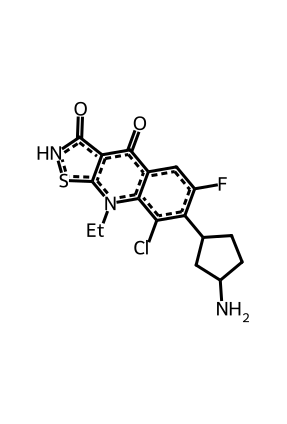 CCn1c2s[nH]c(=O)c2c(=O)c2cc(F)c(C3CCC(N)C3)c(Cl)c21